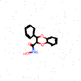 O=C(NO)C1Oc2ccccc2OC1c1ccccc1